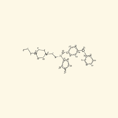 CCCN1CCN(CCC(Oc2ccc(Oc3ccccc3)cc2)c2ccsc2)CC1